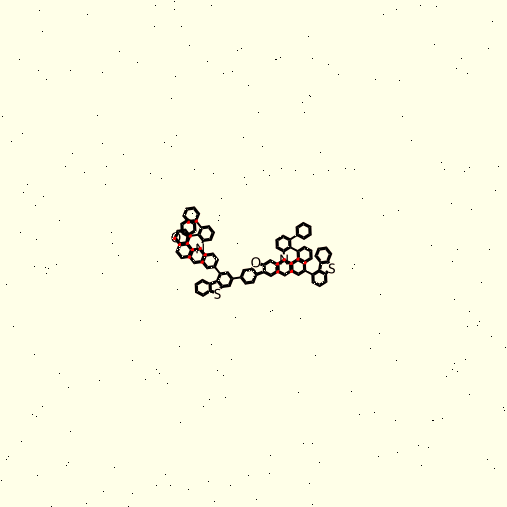 c1ccc(-c2ccccc2-c2c(-c3ccccc3)cccc2N(c2ccc(-c3cccc4sc5ccccc5c34)cc2)c2ccc3c(c2)oc2cc(-c4cc(-c5ccc(N(c6cccc(-c7ccccc7)c6-c6ccccc6-c6ccccc6)c6cccc7oc8ccccc8c67)cc5)c5c(c4)sc4ccccc45)ccc23)cc1